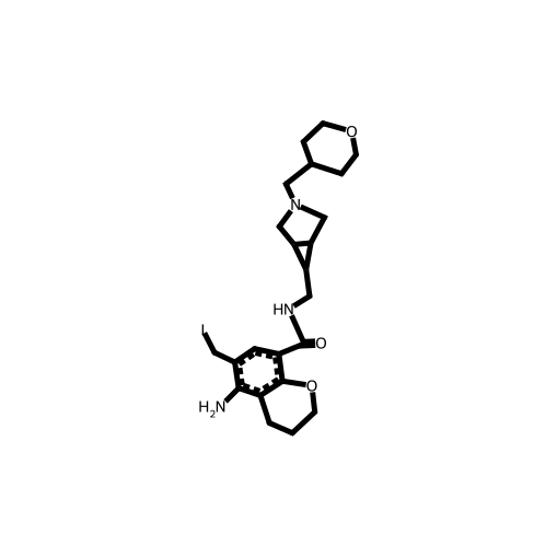 Nc1c(CI)cc(C(=O)NCC2C3CN(CC4CCOCC4)CC23)c2c1CCCO2